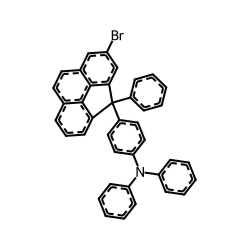 Brc1cc2c3c(ccc4cccc(c43)C2(c2ccccc2)c2ccc(N(c3ccccc3)c3ccccc3)cc2)c1